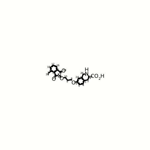 O=C(O)[C@@H]1Cc2ccc(OCCCON3C(=O)c4cccc(I)c4C3=O)cc2CN1